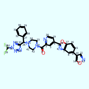 O=C(c1cc(-c2nc3cc(-c4cnoc4)ccc3o2)ccn1)N1CCN(C(c2ccccc2)c2nnn(C(F)F)n2)CC1